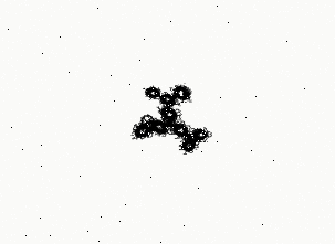 c1ccc(-c2cc(-c3ccccc3)cc(-c3ccc(N(c4ccc(-n5c6ccccc6c6ccccc65)cc4)c4ccc5c(c4)oc4ccccc45)cc3)c2)cc1